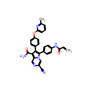 C=CC(=O)Nc1ccc(-c2c(-c3ccc(Oc4cccc(C)n4)cc3)c(C(N)=O)c3cnc(C#N)cn23)cc1